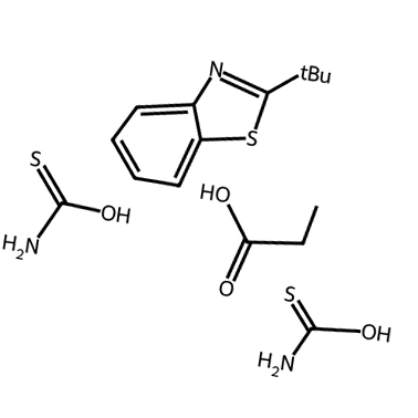 CC(C)(C)c1nc2ccccc2s1.CCC(=O)O.NC(O)=S.NC(O)=S